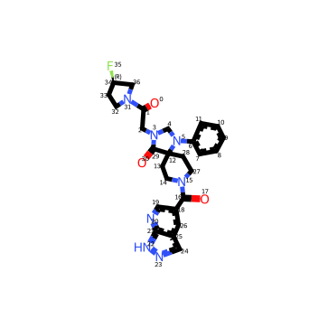 O=C(CN1CN(c2ccccc2)C2(CCN(C(=O)c3cnc4[nH]ncc4c3)CC2)C1=O)N1CC[C@@H](F)C1